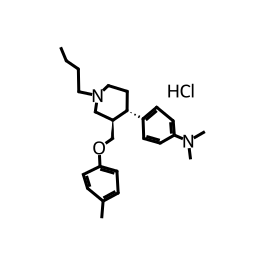 CCCCN1CC[C@H](c2ccc(N(C)C)cc2)[C@@H](COc2ccc(C)cc2)C1.Cl